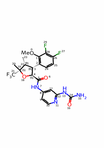 COc1c([C@@H]2[C@@H](C(=O)Nc3ccnc(NC(N)=O)c3)O[C@](C)(C(F)(F)F)[C@@H]2C)ccc(F)c1F